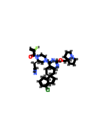 C=C(F)C(=O)N1CCN(c2nc(OCC34CCCN3CCC4)nc3c2CC[C@@]2(C=Cc4c(Cl)cccc42)C3)C[C@@H]1CC#N